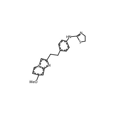 COc1ccn2cc(CCc3ccc(NC4=NCCS4)cc3)nc2c1